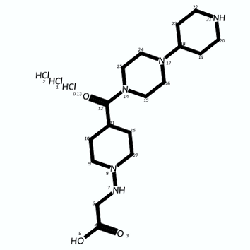 Cl.Cl.Cl.O=C(O)CNN1CCC(C(=O)N2CCN(C3CCNCC3)CC2)CC1